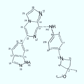 COC1(C)CN(c2ccc(Nc3nc(-c4ccc5cn[nH]c5c4)cn4ccnc34)cc2)C1